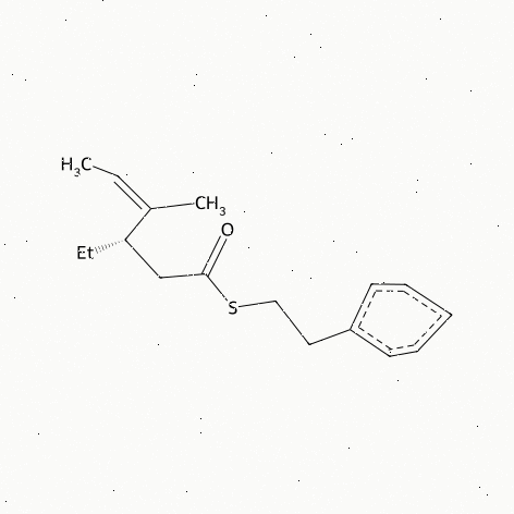 C/C=C(/C)[C@@H](CC)CC(=O)SCCc1ccccc1